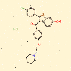 Cl.O=C(c1ccc(OCCN2CCCCC2)cc1)c1c(-c2ccc(Cl)cc2)sc2cc(O)ccc12